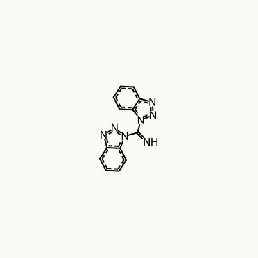 N=C(n1nnc2ccccc21)n1nnc2ccccc21